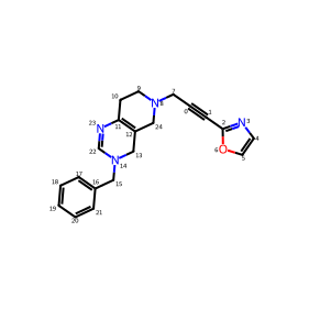 C(#Cc1ncco1)CN1CCC2=C(CN(Cc3ccccc3)C=N2)C1